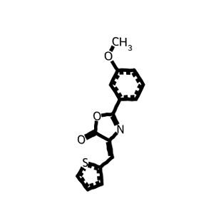 COc1cccc(C2=NC(=Cc3cccs3)C(=O)O2)c1